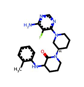 Cc1ccccc1NC1CCCN([C@@H]2CCCN(c3ncnc(N)c3F)C2)C1=O